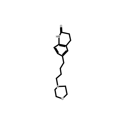 O=C1CCc2cc(CCCCN3CCOCC3)ccc2N1